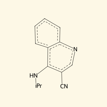 CC(C)Nc1c(C#N)cnc2ccccc12